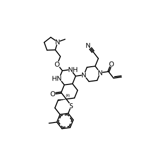 C=CC(=O)N1CCN(C2NC(OCC3CCCN3C)NC3C(=O)[C@]4(CCc5c(C)cccc5S4)CCC32)CC1CC#N